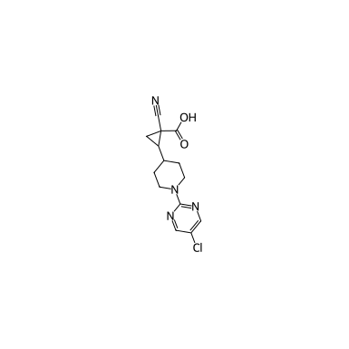 N#CC1(C(=O)O)CC1C1CCN(c2ncc(Cl)cn2)CC1